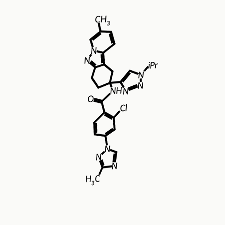 Cc1ccc2c3c(nn2c1)CCC(NC(=O)c1ccc(-n2cnc(C)n2)cc1Cl)(c1cn(C(C)C)nn1)C3